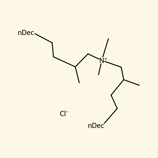 CCCCCCCCCCCCC(C)C[N+](C)(C)CC(C)CCCCCCCCCCCC.[Cl-]